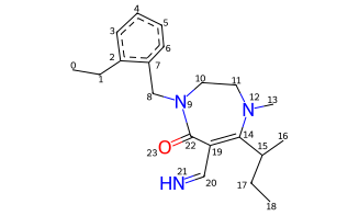 CCc1ccccc1CN1CCN(C)C(C(C)CC)=C(C=N)C1=O